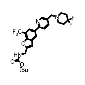 CC(C)(C)OC(=O)NCc1cc2cc(-c3ccc(CN4CCC(F)(F)CC4)cn3)cc(C(F)(F)F)c2o1